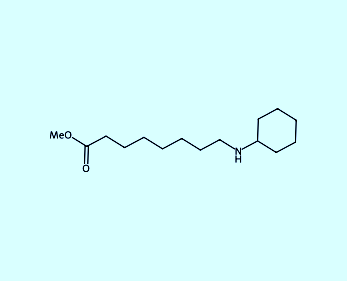 COC(=O)CCCCCCCNC1CCCCC1